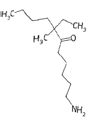 CCCCC(C)(CC)C(=O)CCCCCN